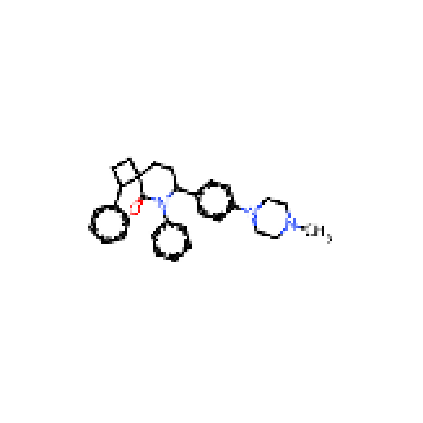 CN1CCN(c2ccc(C3CCC4(CCC4c4ccccc4)C(=O)N3c3ccccc3)cc2)CC1